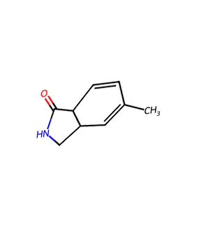 CC1=CC2CNC(=O)C2C=C1